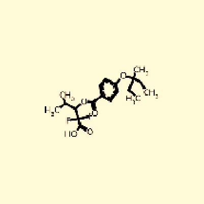 CCC(C)(CC)Oc1ccc(C(=O)OC(C(C)C)C(F)(F)C(=O)O)cc1